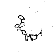 CN(C)c1ccc(-n2cnc3cc(Nc4nnc(-c5ccccc5)c5ccccc45)ccc32)cc1